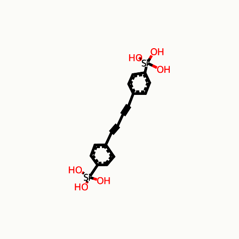 O[Si](O)(O)c1ccc(C#CC#Cc2ccc([Si](O)(O)O)cc2)cc1